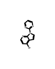 Brc1ccnc2c1ccn2-c1ncccn1